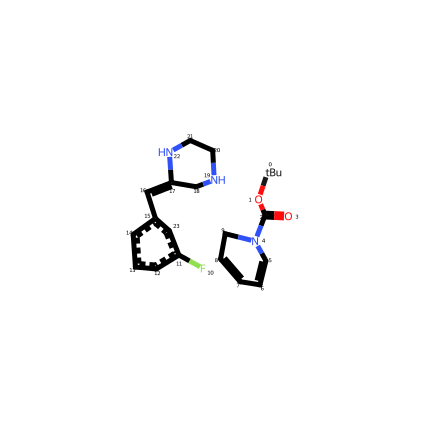 CC(C)(C)OC(=O)N1C=CC=CC1.Fc1cccc(C=C2CNCCN2)c1